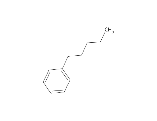 CCC[CH]Cc1ccccc1